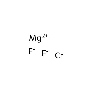 [Cr].[F-].[F-].[Mg+2]